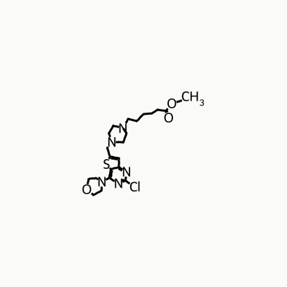 CCOC(=O)CCCCCN1CCN(Cc2cc3nc(Cl)nc(N4CCOCC4)c3s2)CC1